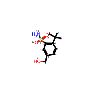 CC(C)(C)c1ccc(CO)cc1S(N)(=O)=O